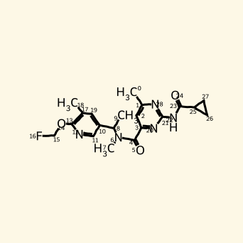 Cc1cc(C(=O)N(C)C(C)c2cnc(OCF)c(C)c2)nc(NC(=O)C2CC2)n1